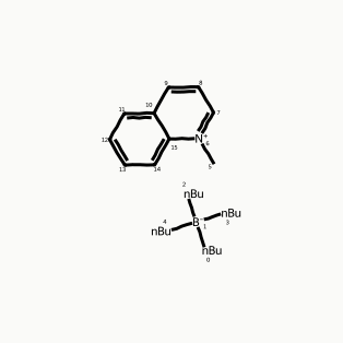 CCCC[B-](CCCC)(CCCC)CCCC.C[n+]1cccc2ccccc21